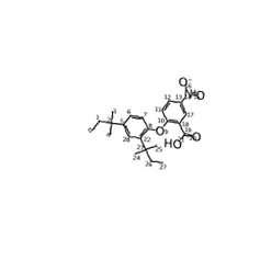 CCC(C)(C)c1ccc(Oc2ccc([N+](=O)[O-])cc2C(=O)O)c(C(C)(C)CC)c1